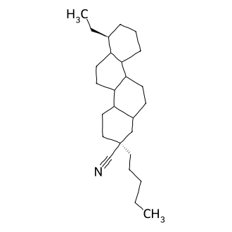 CCCCC[C@]1(C#N)CCC2C(CCC3C2CCC2C3CCC[C@@H]2CC)C1